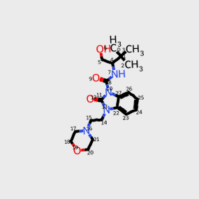 CC(C)(C)C(CO)NC(=O)n1c(=O)n(CCN2CCOCC2)c2ccccc21